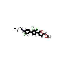 C/C=C/c1ccc(-c2ccc(C3CCC(COCC)OC3)c(F)c2F)cc1F